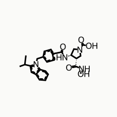 CC(C)c1cc2ccccc2n1Cc1ccc(C(=O)N[C@@H]2CN(C(=O)O)C[C@@H]2C(=O)NO)cc1